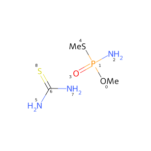 COP(N)(=O)SC.NC(N)=S